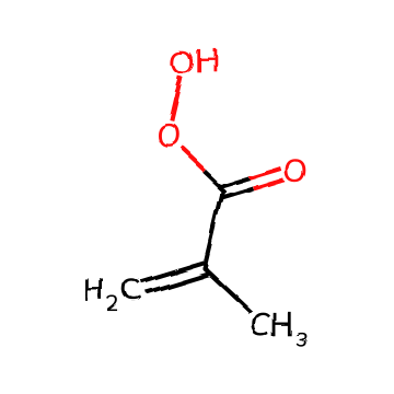 C=C(C)C(=O)OO